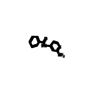 Nc1cc(NC(=O)c2ccccc2)ccn1